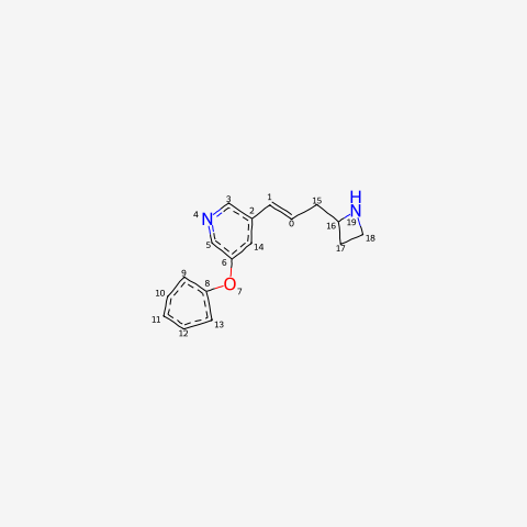 C(=Cc1cncc(Oc2ccccc2)c1)CC1CCN1